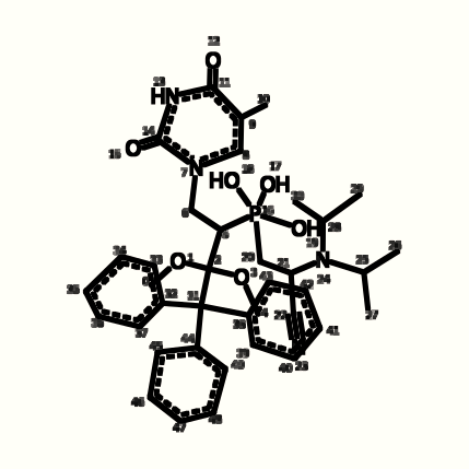 COC(OC)(C(Cn1cc(C)c(=O)[nH]c1=O)P(O)(O)(O)CC(C#N)N(C(C)C)C(C)C)C(c1ccccc1)(c1ccccc1)c1ccccc1